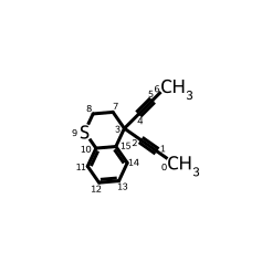 CC#CC1(C#CC)CCSc2ccccc21